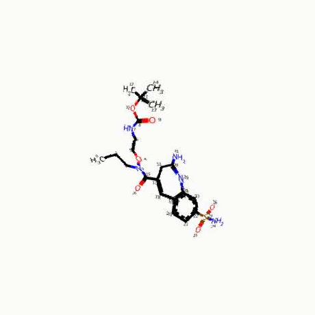 CCCN(OCCNC(=O)OC(C)(C)C)C(=O)C1=Cc2ccc(S(N)(=O)=O)cc2N=C(N)C1